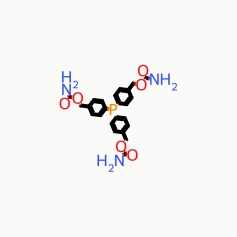 NC(=O)OCc1ccc(P(c2ccc(COC(N)=O)cc2)c2ccc(COC(N)=O)cc2)cc1